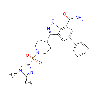 Cc1nc(S(=O)(=O)N2CCC(c3n[nH]c4c(C(N)=O)cc(-c5ccccc5)cc34)CC2)cn1C